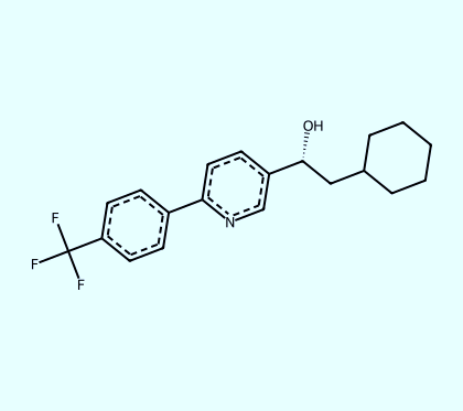 O[C@H](CC1CCCCC1)c1ccc(-c2ccc(C(F)(F)F)cc2)nc1